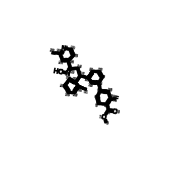 COC(=O)c1ccc(-c2cccc(C(CC(=NO)c3ccnc(C)c3)c3ccccc3C)c2)cc1F